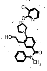 CN(C(=O)c1ccc(N2CC[C@H](Oc3ncccc3Cl)C2)c(CCO)c1)c1ccccc1